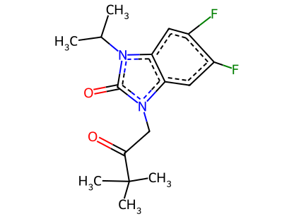 CC(C)n1c(=O)n(CC(=O)C(C)(C)C)c2cc(F)c(F)cc21